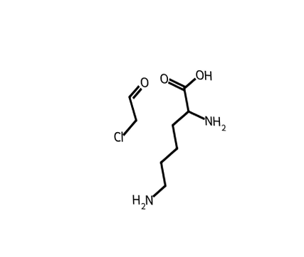 NCCCCC(N)C(=O)O.O=CCCl